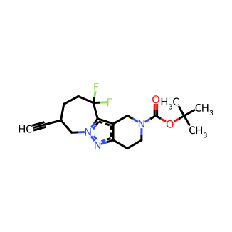 C#CC1CCC(F)(F)c2c3c(nn2C1)CCN(C(=O)OC(C)(C)C)C3